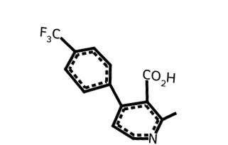 Cc1nccc(-c2ccc(C(F)(F)F)cc2)c1C(=O)O